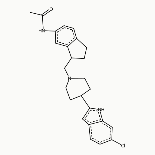 CC(=O)Nc1ccc2c(c1)C(CN1CCC(c3cc4ccc(Cl)cc4[nH]3)CC1)CC2